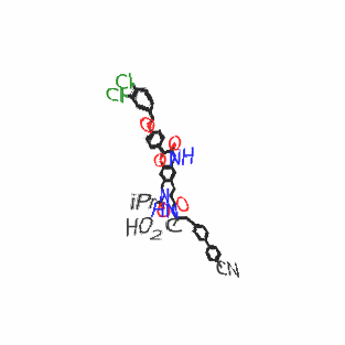 CC(C)C(=O)N1Cc2cc3c(cc2CC1C(=O)N[C@@H](Cc1ccc(-c2ccc(C#N)cc2)cc1)C(=O)O)NC(=O)C(c1ccc(OCc2ccc(Cl)c(Cl)c2)cc1)O3